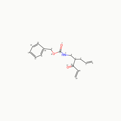 C=CCC(CNC(=O)OCc1ccccc1)C(=O)C=C